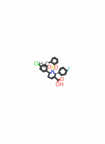 Cc1ccccc1S(=O)(=O)N1C(c2ccc(Cl)cc2)CC=C(C(=O)O)[C@@H]1c1ccc(F)cc1